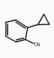 N#Cc1cc[c]cc1C1CC1